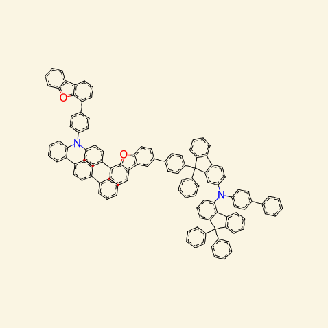 c1ccc(-c2ccc(-c3ccccc3N(c3ccc(-c4cccc5c4oc4ccccc45)cc3)c3ccc(-c4cccc5c4oc4ccc(-c6ccc(C7(c8ccccc8)c8ccccc8-c8ccc(N(c9ccc(-c%10ccccc%10)cc9)c9cccc%10c9-c9ccccc9C%10(c9ccccc9)c9ccccc9)cc87)cc6)cc45)cc3)cc2)cc1